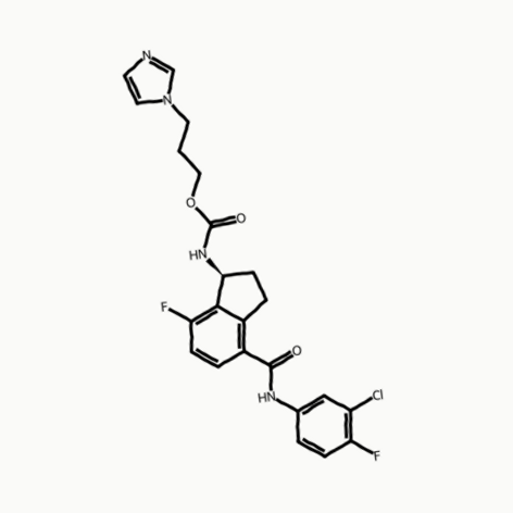 O=C(N[C@H]1CCc2c(C(=O)Nc3ccc(F)c(Cl)c3)ccc(F)c21)OCCCn1ccnc1